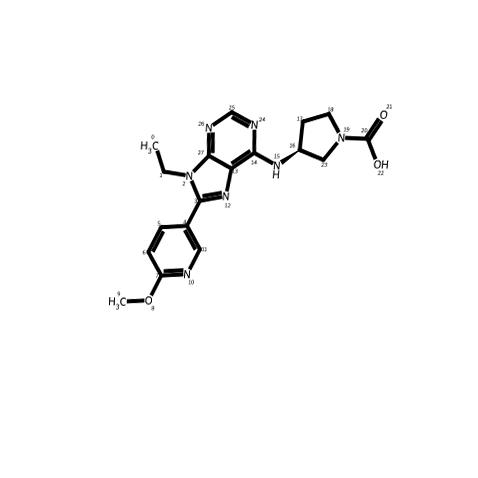 CCn1c(-c2ccc(OC)nc2)nc2c(N[C@H]3CCN(C(=O)O)C3)ncnc21